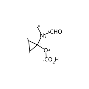 CN(C=O)C1(OC(=O)O)CC1